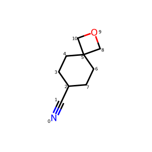 N#CC1CCC2(CC1)COC2